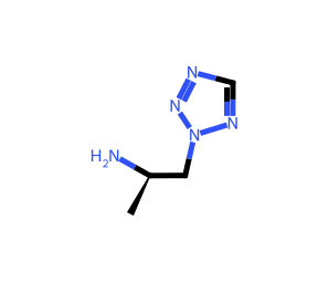 C[C@@H](N)Cn1ncnn1